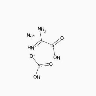 N=C(N)S(=O)O.O=S([O-])O.[Na+]